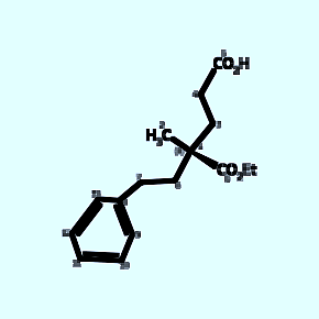 CCOC(=O)[C@@](C)(CCC(=O)O)CCc1ccccc1